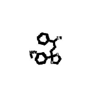 CNC.N#CC(CCC1(c2ccccc2)OCCO1)c1ccccc1